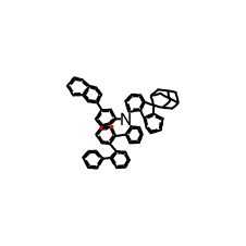 c1ccc(-c2ccccc2-c2ccccc2-c2ccccc2N(c2cccc(-c3ccc4ccccc4c3)c2)c2cccc3c2-c2ccccc2C32C3CC4CC(C3)CC2C4)cc1